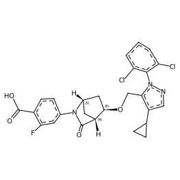 O=C(O)c1ccc(N2C(=O)[C@@H]3C[C@H]2C[C@H]3OCc2c(C3CC3)cnn2-c2c(Cl)cccc2Cl)cc1F